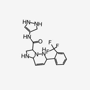 O=C(NC1=CNNC1)C1CNC2C=CC(c3ccccc3C(F)(F)F)NN21